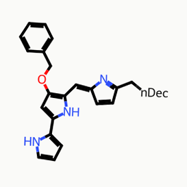 CCCCCCCCCCCC1=NC(=Cc2[nH]c(-c3ccc[nH]3)cc2OCc2ccccc2)C=C1